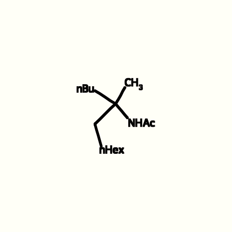 CCCCCCCC(C)(CCCC)NC(C)=O